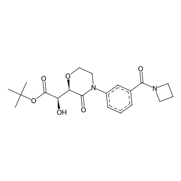 CC(C)(C)OC(=O)[C@H](O)[C@H]1OCCN(c2cccc(C(=O)N3CCC3)c2)C1=O